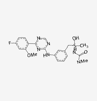 CNC(=O)N=[SH](C)(O)Cc1cccc(Nc2ncnc(-c3ccc(F)cc3OC)n2)c1